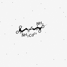 N[C@@H](CSSC[C@H](N)C(=O)[O-])C(=O)[O-].[Cd+2]